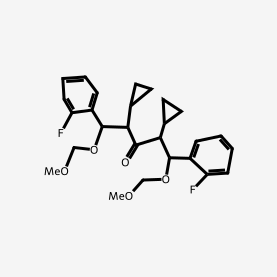 COCOC(c1ccccc1F)C(C(=O)C(C1CC1)C(OCOC)c1ccccc1F)C1CC1